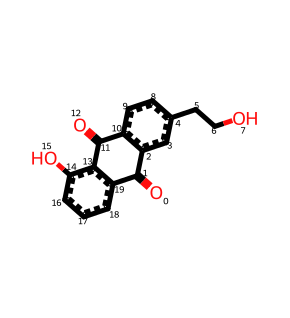 O=C1c2cc(CCO)ccc2C(=O)c2c(O)cccc21